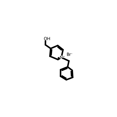 OCc1cc[n+](Cc2ccccc2)cc1.[Br-]